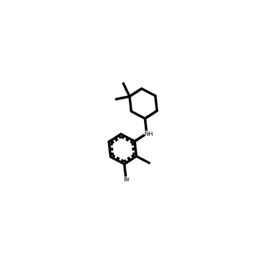 Cc1c(Br)cccc1NC1CCCC(C)(C)C1